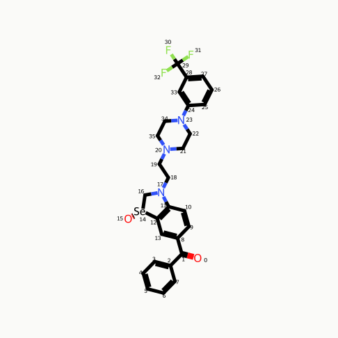 O=C(c1ccccc1)c1ccc2c(c1)[Se](=O)CN2CCN1CCN(c2cccc(C(F)(F)F)c2)CC1